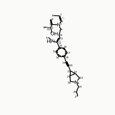 C=C([C@H](C)O)N(/C=C\C)CC/C=C(\PC)c1ccc(C#CC2C3CN(CCC)CC23)cc1